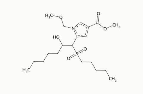 CCCCCC(O)C(c1cc(C(=O)OC)cn1COC)S(=O)(=O)CCCCC